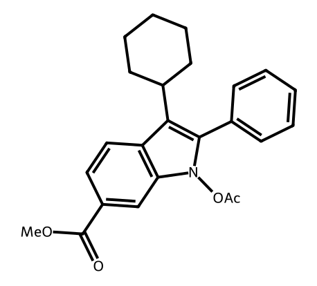 COC(=O)c1ccc2c(C3CCCCC3)c(-c3ccccc3)n(OC(C)=O)c2c1